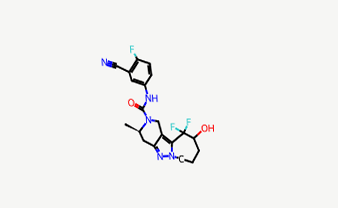 C[C@@H]1Cc2nn3c(c2CN1C(=O)Nc1ccc(F)c(C#N)c1)C(F)(F)C(O)CCC3